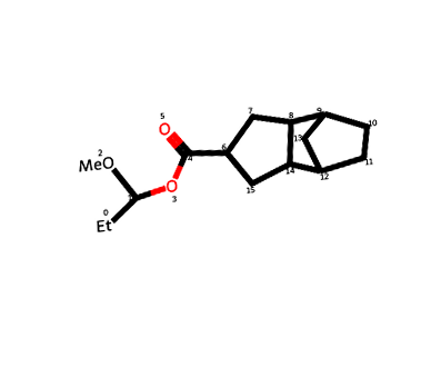 CCC(OC)OC(=O)C1CC2C3CCC(C3)C2C1